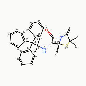 C=C1N2C(=O)[C@@H](NC(C)(C)C(c3ccccc3)(c3ccccc3)c3ccccc3)[C@H]2SC1(C)C